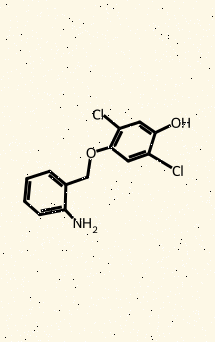 Nc1ccccc1COc1cc(Cl)c(O)cc1Cl